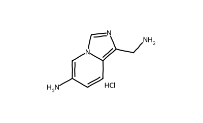 Cl.NCc1ncn2cc(N)ccc12